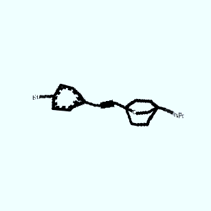 CCCC12CCC(C#Cc3ccc(CC)cc3)(CC1)CC2